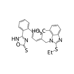 CCSc1nc2cccc(C(=O)O)c2n1Cc1ccc(-c2ccccc2-c2nc(=S)o[nH]2)cc1